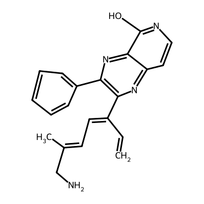 C=C/C(=C\C=C(/C)CN)c1nc2ccnc(O)c2nc1-c1ccccc1